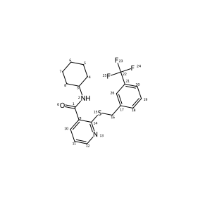 O=C(NC1CCCCC1)c1cccnc1SCc1cccc(C(F)(F)F)c1